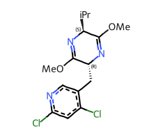 COC1=N[C@H](Cc2cnc(Cl)cc2Cl)C(OC)=N[C@H]1C(C)C